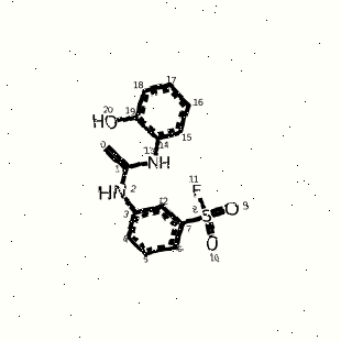 C=C(Nc1cccc(S(=O)(=O)F)c1)Nc1ccccc1O